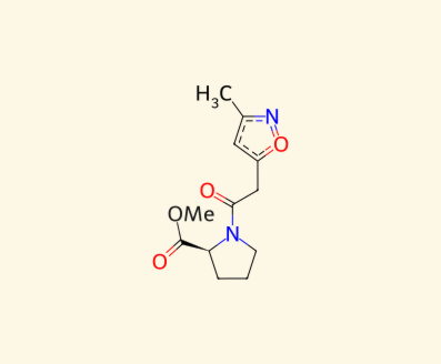 COC(=O)[C@@H]1CCCN1C(=O)Cc1cc(C)no1